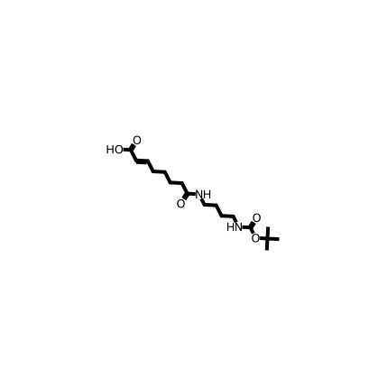 CC(C)(C)OC(=O)NCCCCNC(=O)CCCCC=CC(=O)O